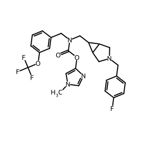 Cn1cnc(OC(=O)N(Cc2cccc(OC(F)(F)F)c2)CC2C3CN(Cc4ccc(F)cc4)CC32)c1